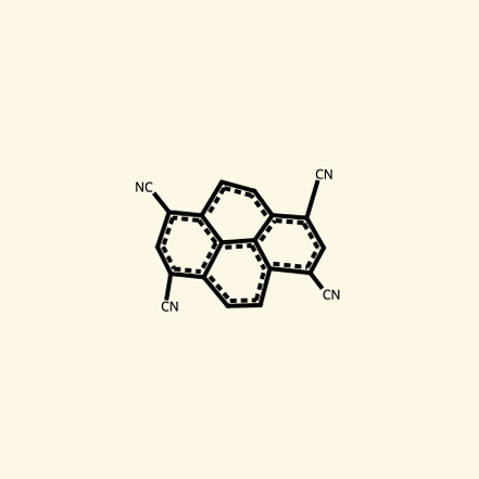 N#Cc1cc(C#N)c2ccc3c(C#N)cc(C#N)c4ccc1c2c43